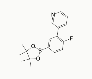 CC1(C)OB(c2ccc(F)c(-c3cccnc3)c2)OC1(C)C